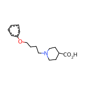 O=C(O)C1CCN(CCCCOc2ccccc2)CC1